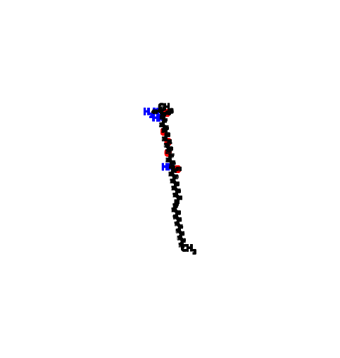 CCCCCCCCCCCCC#CCCCCCCCCC(=O)NCCCOCCOCCOCCCNC(=O)C(C)N